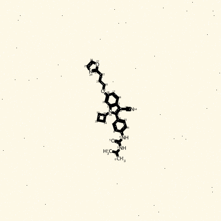 CC(C)NC(=O)Nc1ccc(-c2c(C#N)c3ccc(OCCCc4ncco4)cc3n2C2CCC2)cc1